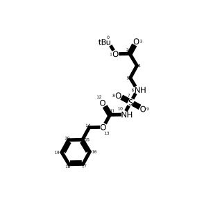 CC(C)(C)OC(=O)CCNS(=O)(=O)NC(=O)OCc1ccccc1